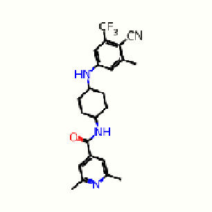 Cc1cc(C(=O)NC2CCC(Nc3cc(C)c(C#N)c(C(F)(F)F)c3)CC2)cc(C)n1